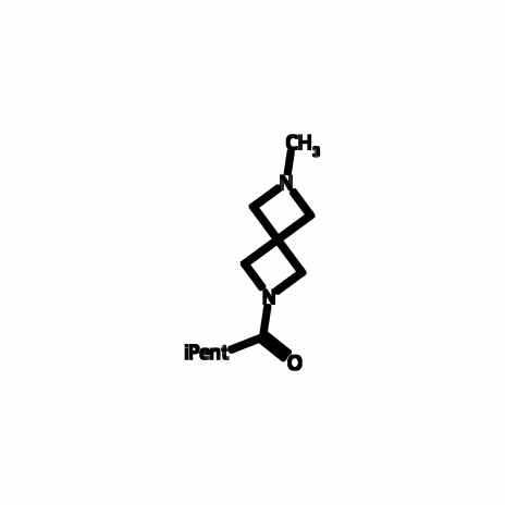 CCCC(C)C(=O)N1CC2(CN(C)C2)C1